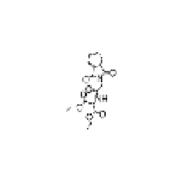 CCOC(=O)C(NC(=O)CN1C(=O)c2ccccc2C1=O)C(=O)OCC